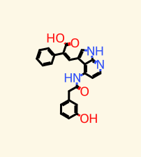 O=C(Cc1cccc(O)c1)Nc1ccnc2[nH]cc(C=C(C(=O)O)c3ccccc3)c12